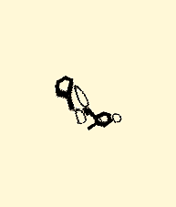 CC1CCCCC1OC(=O)C1CC23OC2(CC1C)O3